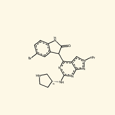 CCCn1cc2c(C3C(=O)Nc4ccc(Br)cc43)nc(N[C@@H]3CCNC3)nc2n1